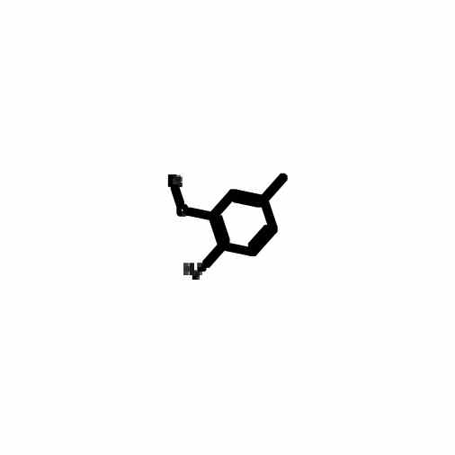 CCOc1cc(C)ccc1P